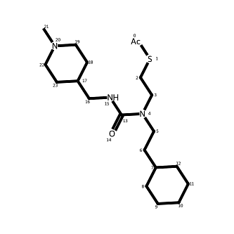 CC(=O)SCCN(CCC1CCCCC1)C(=O)NCC1CCN(C)CC1